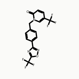 O=c1ccc(C(F)(F)F)cn1Cc1ccc(-c2noc(C(F)(F)F)n2)cc1